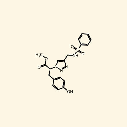 COC(=O)[C@H](Cc1ccc(O)cc1)n1cc(CNS(=O)(=O)c2ccccc2)nn1